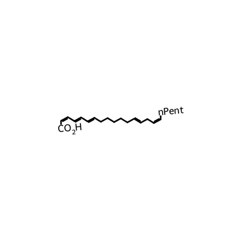 CCCCC/C=C\C/C=C/CCCCCC=CC=C/C=C\C(=O)O